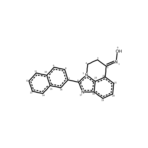 ON=C1CCn2c(-c3ccc4ccccc4c3)nc3cccc1c32